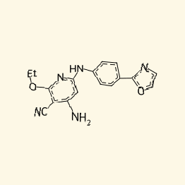 CCOc1nc(Nc2ccc(-c3ncco3)cc2)cc(N)c1C#N